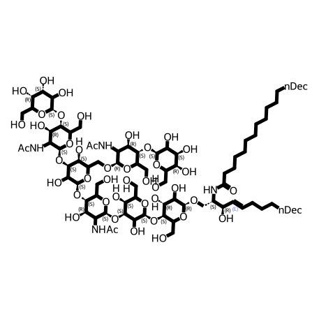 CCCCCCCCCCCCC/C=C/[C@@H](O)[C@H](CO[C@@H]1OC(CO)[C@@H](O[C@@H]2OC(CO)[C@H](O)[C@H](O[C@@H]3OC(CO)[C@@H](O[C@@H]4OC(CO[C@@H]5OC(CO)[C@@H](O[C@@H]6OC(CO)[C@H](O)[C@H](O)C6O)[C@H](O)C5NC(C)=O)[C@H](O)[C@H](O[C@@H]5OC(CO)[C@@H](O[C@@H]6OC(CO)[C@H](O)[C@H](O)C6O)[C@H](O)C5NC(C)=O)C4O)[C@H](O)C3NC(C)=O)C2O)[C@H](O)C1O)NC(=O)CCCCCCCCCCCCCCCCCCCCC